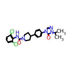 CC(C)n1ncn(-c2ccc(C3CCN(C(=O)Nc4c(Cl)cccc4Cl)CC3)cc2)c1=O